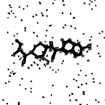 CCN(C)C(=O)[C@H]1CC[C@H](NC(=O)c2cc3ccc(Cl)cc3cn2)[C@H](C)C1